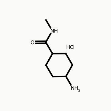 CNC(=O)C1CCC(N)CC1.Cl